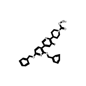 CC(C)(C)OC(=O)N1CCC(c2ncc(-c3ccc(OCc4ccccc4)nc3OCc3ccccc3)cc2F)CC1